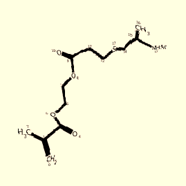 C=C(C)C(=O)OCCOC(=O)CCSCC(C)NC(C)=O